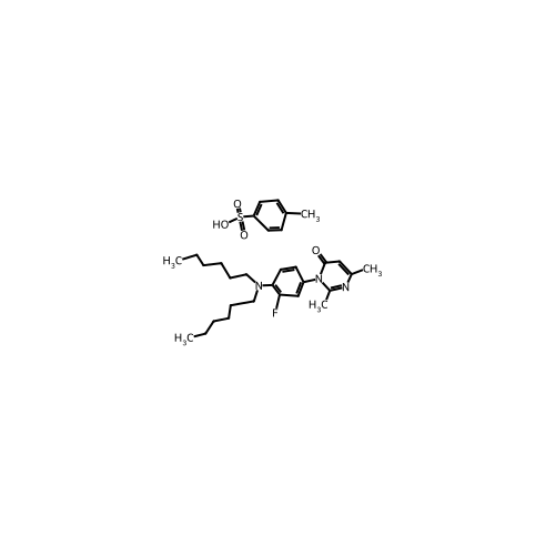 CCCCCCN(CCCCCC)c1ccc(-n2c(C)nc(C)cc2=O)cc1F.Cc1ccc(S(=O)(=O)O)cc1